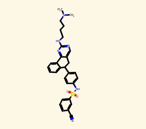 CN(C)CCCCNc1ncc2c(n1)-c1ccccc1C(c1ccc(NS(=O)(=O)c3cccc(C#N)c3)cc1)C2